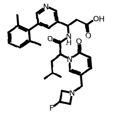 Cc1cccc(C)c1-c1cncc(C(CC(=O)O)NC(=O)C(CC(C)C)n2cc(CN3CC(F)C3)ccc2=O)c1